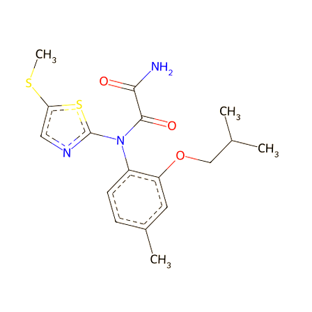 CSc1cnc(N(C(=O)C(N)=O)c2ccc(C)cc2OCC(C)C)s1